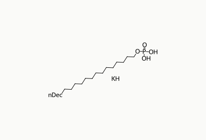 CCCCCCCCCCCCCCCCCCCCCCCCOP(=O)(O)O.[KH]